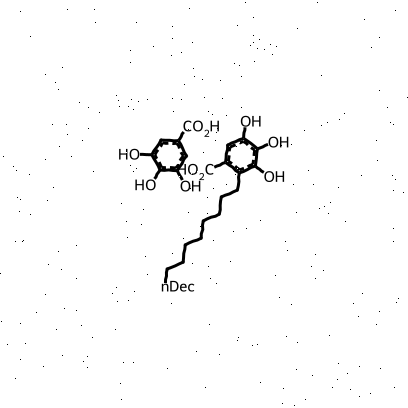 CCCCCCCCCCCCCCCCCCc1c(C(=O)O)cc(O)c(O)c1O.O=C(O)c1cc(O)c(O)c(O)c1